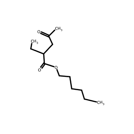 CCCCCCOC(=O)C(CC)CC(C)=O